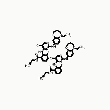 C#CCNC(=O)c1cccc(F)c1Nc1nc(Nc2ccc3c(c2)OCCCN3CC)ncc1Cl.C#CCNC(=O)c1cccc(F)c1Nc1nc(Nc2ccc3c(c2)OCCCN3CC)ncc1Cl